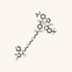 CC(C)N(C)[C@@H]1CC[C@H](N2CC[C@H](Nc3ncnc4ccc(C(F)(F)F)cc34)C2=O)[C@H](NC(=O)C2CCC(NC(=O)CCCOCCCOCCCNC(=O)[C@H]3CC(=O)N(C)[C@@H]3c3cccnc3)CC2)C1